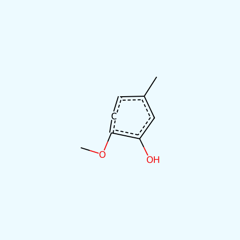 COc1ccc(C)cc1O